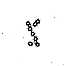 c1ccc(-n2c3ccccc3c3ccc(-c4ccc(-c5ccc6c7ccccc7n(-c7ccc8ccccc8c7)c6c5)cc4)cc32)cc1